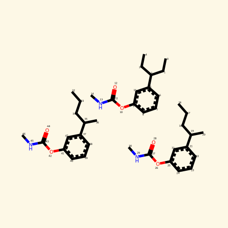 CCC(CC)c1cccc(OC(=O)NC)c1.CCCC(C)c1cccc(OC(=O)NC)c1.CCCC(C)c1cccc(OC(=O)NC)c1